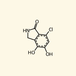 O=C1NCc2c(O)c(O)cc(Cl)c21